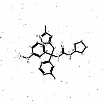 Cc1cccc(C(Cc2cc(C)no2)(NC(=O)NC2CCCC2)c2cccc(OC(F)(F)F)c2)c1